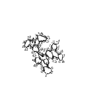 c1ccc2c(c1)oc1c(N(c3ccc4c5ccccc5c5ccccc5c4c3)c3cc4c5ccccc5n5c6ccccc6c(c3)c45)cccc12